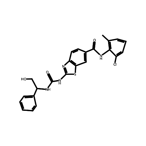 Cc1cccc(Cl)c1NC(=O)c1ccc2nc(NC(=O)NC(CO)c3ccccc3)sc2c1